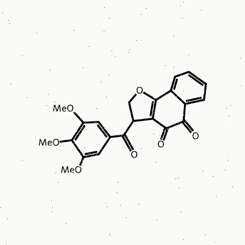 COc1cc(C(=O)C2COC3=C2C(=O)C(=O)c2ccccc23)cc(OC)c1OC